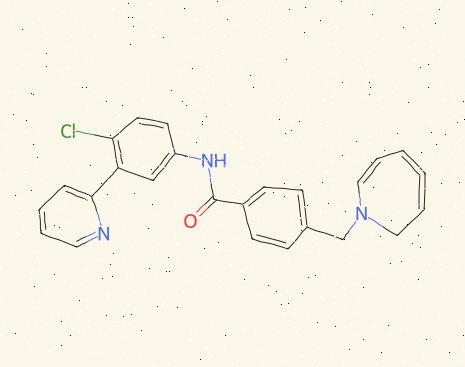 O=C(Nc1ccc(Cl)c(-c2ccccn2)c1)c1ccc(CN2C=CC=C=CC2)cc1